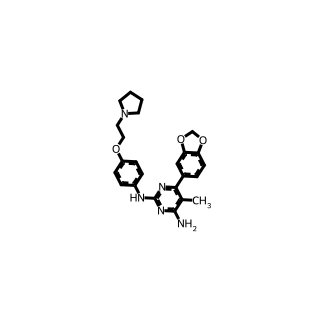 Cc1c(N)nc(Nc2ccc(OCCN3CCCC3)cc2)nc1-c1ccc2c(c1)OCO2